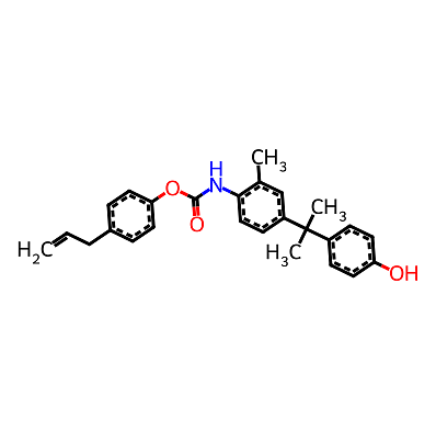 C=CCc1ccc(OC(=O)Nc2ccc(C(C)(C)c3ccc(O)cc3)cc2C)cc1